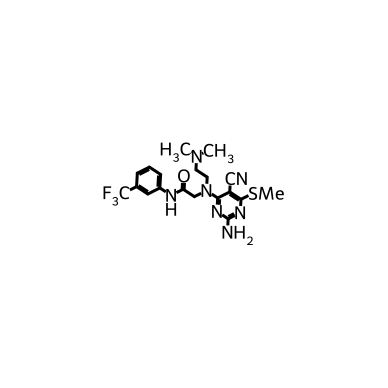 CSc1nc(N)nc(N(CCN(C)C)CC(=O)Nc2cccc(C(F)(F)F)c2)c1C#N